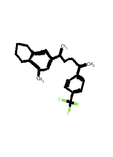 C=C(CCC(=C)c1cc(C)c2c(c1)CCCC2)c1ccc(C(F)(F)F)cc1